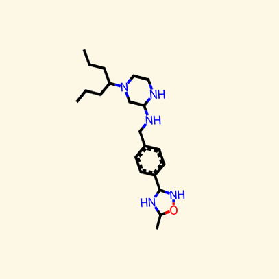 CCCC(CCC)N1CCNC(NCc2ccc(C3NOC(C)N3)cc2)C1